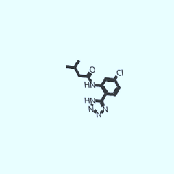 CC(C)CC(=O)Nc1cc(Cl)ccc1-c1nnn[nH]1